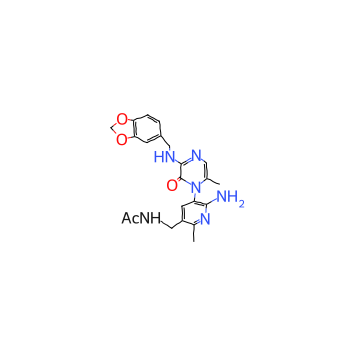 CC(=O)NCc1cc(-n2c(C)cnc(NCc3ccc4c(c3)OCO4)c2=O)c(N)nc1C